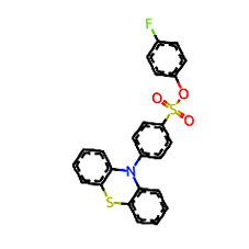 O=S(=O)(Oc1ccc(F)cc1)c1ccc(N2c3ccccc3Sc3ccccc32)cc1